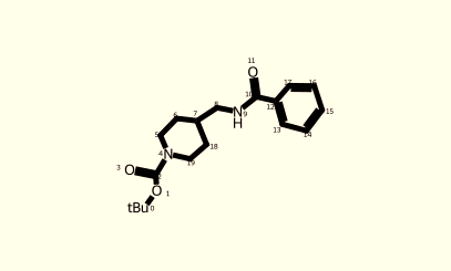 CC(C)(C)OC(=O)N1CCC(CNC(=O)c2cc[c]cc2)CC1